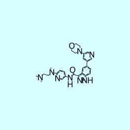 CN(C)CCN(C)c1ccc(NC(=O)c2n[nH]c3ccc(-c4cncc(N5CCOCC5)c4)cc23)cn1